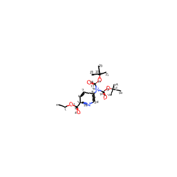 CCOC(=O)c1ccc(N(C(=O)OC(C)(C)C)C(=O)OC(C)(C)C)cn1